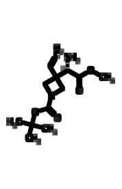 C=CC1([C@H](N)C(=O)OC)CN(C(=O)OC(C)(C)C)C1